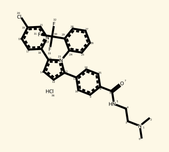 CN(C)CCNC(=O)c1ccc(-c2ccc(-c3ccc(Cl)cn3)n2-c2ccccc2C(F)(F)F)cc1.Cl